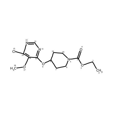 CCOC(=O)N1CCC(Oc2ncnc(Cl)c2OC)CC1